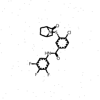 O=C(Nc1cc(F)c(F)c(F)c1)c1ccc(Cl)c(SN2C3CCC2C(=O)C3)c1